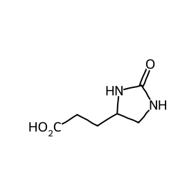 O=C(O)CCC1CNC(=O)N1